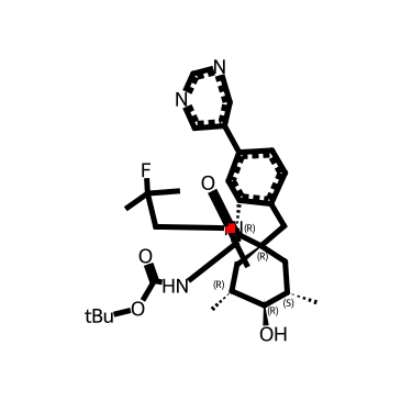 C[C@@H]1C[C@@]2(Cc3ccc(-c4cncnc4)cc3[C@]23N=C(NC(=O)OC(C)(C)C)N(CC(C)(C)F)C3=O)C[C@H](C)[C@H]1O